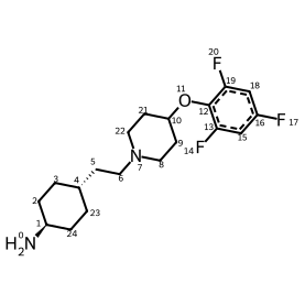 N[C@H]1CC[C@H](CCN2CCC(Oc3c(F)cc(F)cc3F)CC2)CC1